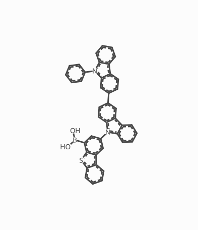 OB(O)c1cc(-n2c3ccccc3c3cc(-c4ccc5c6ccccc6n(-c6ccccc6)c5c4)ccc32)cc2c1sc1ccccc12